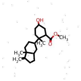 C=C1CCC2CC(C3(C)CCC(O)CC3C(=O)OC)CCC12C